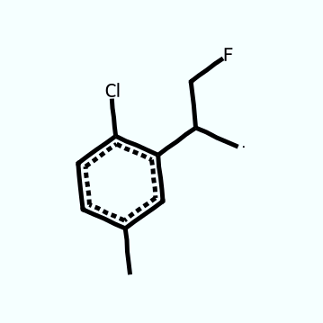 [CH2]C(CF)c1cc(C)ccc1Cl